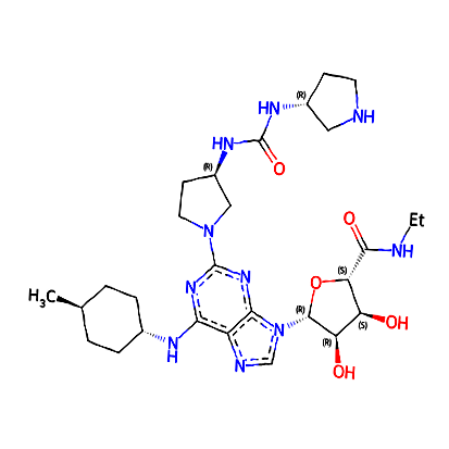 CCNC(=O)[C@H]1O[C@@H](n2cnc3c(N[C@H]4CC[C@H](C)CC4)nc(N4CC[C@@H](NC(=O)N[C@@H]5CCNC5)C4)nc32)[C@H](O)[C@@H]1O